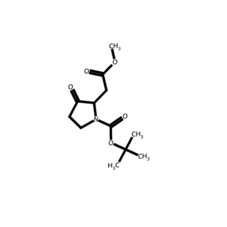 COC(=O)CC1C(=O)CCN1C(=O)OC(C)(C)C